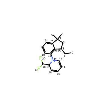 CC[C@@H]1CC(C)(C)c2cccc(N3C=CC=CC3C(F)F)c21